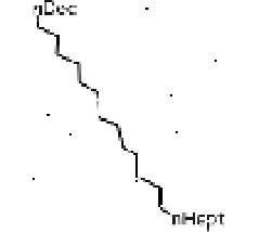 [CH2]CCCCCCC=CCCCCCCCCCCCCCCCCCCCCC